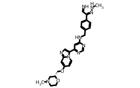 CN/N=C(\C=N)c1ccc(CNc2cc(-c3cnc4cc(OC[C@H]5CN(C)CCO5)ccn34)ncn2)cc1